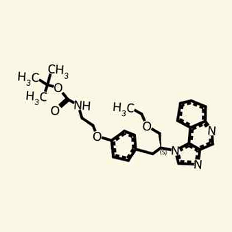 CCOC[C@H](Cc1ccc(OCCNC(=O)OC(C)(C)C)cc1)n1cnc2cnc3ccccc3c21